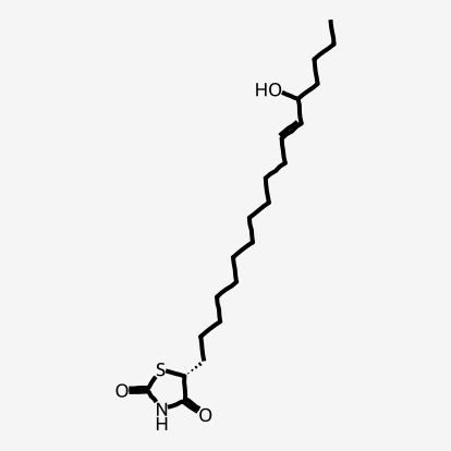 CCCCC(O)C=CCCCCCCCCCCC[C@H]1SC(=O)NC1=O